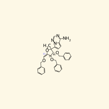 CC1(c2ccc3c(N)ncnn23)O/C(=C/OCc2ccccc2)[C@@H](OCc2ccccc2)[C@H]1OCc1ccccc1